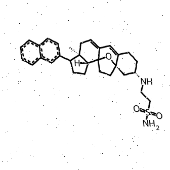 C[C@]12CC=C3C=C4CC[C@H](NCCS(N)(=O)=O)C[C@]45CCC3(O5)[C@@H]1CCC2c1ccc2ccccc2c1